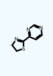 [CH]1CSC(c2ccncn2)=N1